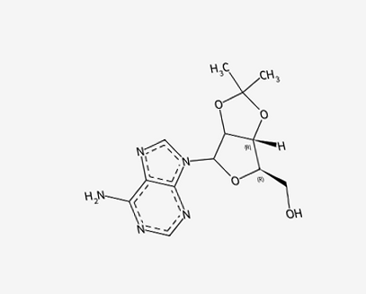 CC1(C)OC2C(n3cnc4c(N)ncnc43)O[C@H](CO)[C@H]2O1